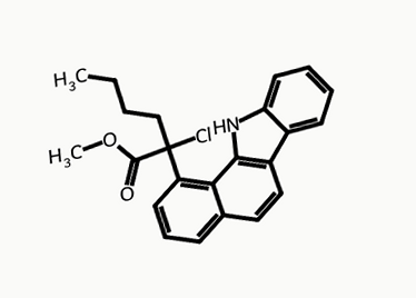 CCCCC(Cl)(C(=O)OC)c1cccc2ccc3c4ccccc4[nH]c3c12